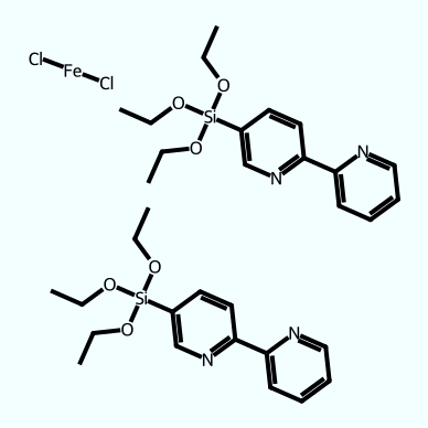 CCO[Si](OCC)(OCC)c1ccc(-c2ccccn2)nc1.CCO[Si](OCC)(OCC)c1ccc(-c2ccccn2)nc1.[Cl][Fe][Cl]